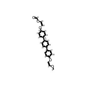 CO/C=C\Oc1ccc(-c2ccc(-c3ccc(O/C=C\OC=O)cc3)cc2)cc1